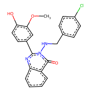 COc1cc(-c2nc3ccccc3c(=O)n2NCc2ccc(Cl)cc2)ccc1O